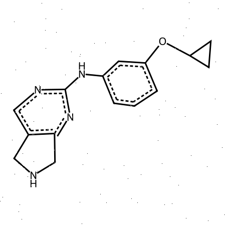 c1cc(Nc2ncc3c(n2)CNC3)cc(OC2CC2)c1